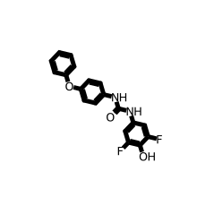 O=C(Nc1ccc(Oc2ccccc2)cc1)Nc1cc(F)c(O)c(F)c1